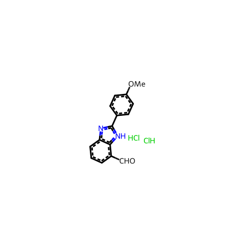 COc1ccc(-c2nc3cccc(C=O)c3[nH]2)cc1.Cl.Cl